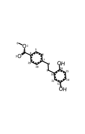 COC(=O)c1ccc(CCc2cc(O)ccc2O)cc1